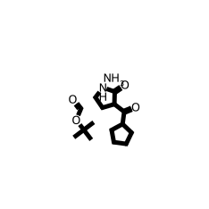 CC(C)(C)OC=O.N.O=C1NCCC1C(=O)C1CCCC1